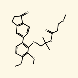 COc1ccc(-c2ccc3c(c2)CCC3=O)c(OCC(C)(C)OC(=O)CCSC)c1OC